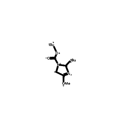 COC1=NC(C(C)(C)C)N(C(=O)OC(C)(C)C)C1